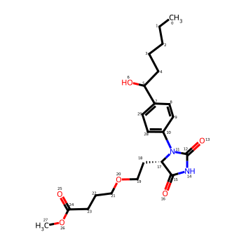 CCCCCC(O)c1ccc(N2C(=O)NC(=O)[C@@H]2CCOCCCC(=O)OC)cc1